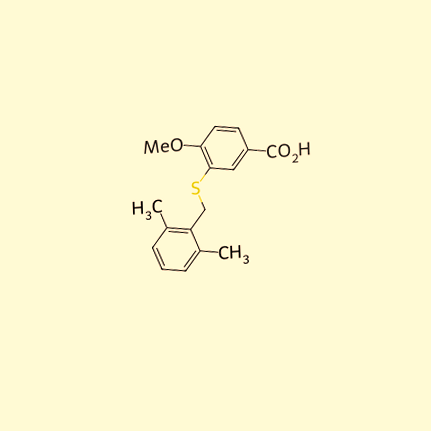 COc1ccc(C(=O)O)cc1SCc1c(C)cccc1C